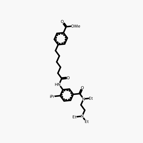 CCN(CC)CCN(CC)C(=O)c1ccc(C(C)C)c(NC(=O)CCCCCc2ccc(C(=O)OC)cc2)c1